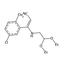 CCOC(CN/C(=C/C#N)c1cc(Cl)ccc1C)OCC